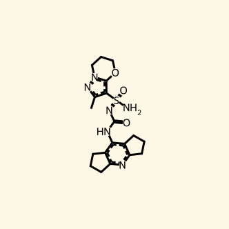 Cc1nn2c(c1S(N)(=O)=NC(=O)Nc1c3c(nc4c1CCC4)CCC3)OCCC2